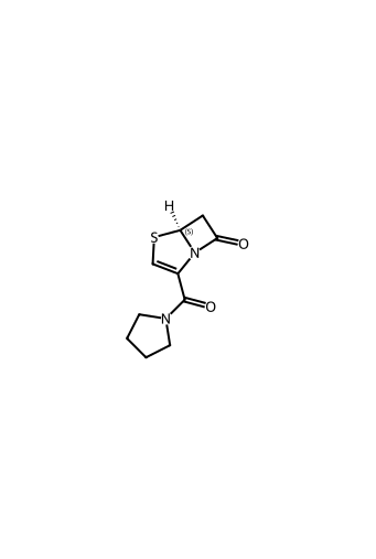 O=C(C1=CS[C@H]2CC(=O)N12)N1CCCC1